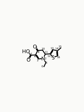 CCN1C=C(C(=O)O)C(=O)CC1c1cc(C)cs1